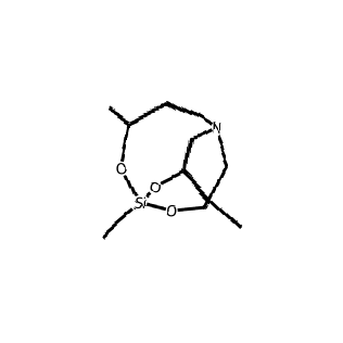 CC1CN2CCO[Si](C)(O1)OC(C)C2